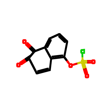 O=C1C=Cc2c(OS(=O)(=O)Cl)cccc2C1=O